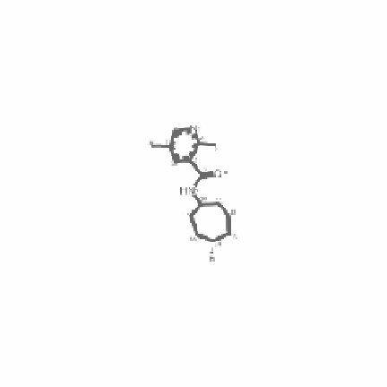 Cc1cnc(C)c(C(=O)NC2CCC[C@H](C)CC2)c1